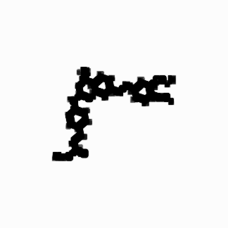 CCN(CC(=O)Oc1ccc(/C=C/C(=O)OC)cc1)c1ccc(/N=N/c2ccc([N+](=O)[O-])c(C(=O)O)c2)cc1